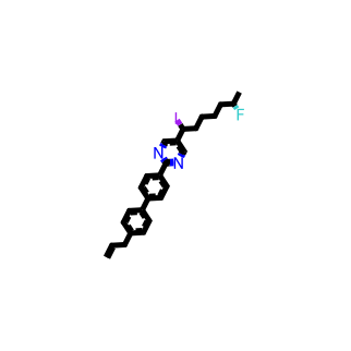 C=CCc1ccc(-c2ccc(-c3ncc(C(I)CCCCC(C)F)cn3)cc2)cc1